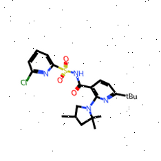 CC1CN(c2nc(C(C)(C)C)ccc2C(=O)NS(=O)(=O)c2cccc(Cl)n2)C(C)(C)C1